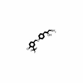 NCC(O)=Cc1ccc(OCc2ccc(Cl)c(C(F)(F)F)c2)cc1